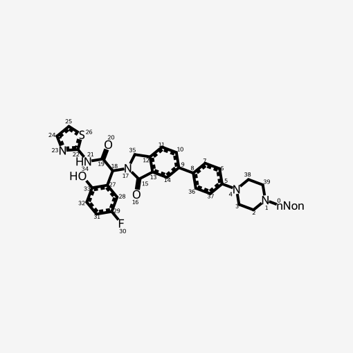 CCCCCCCCCN1CCN(c2ccc(-c3ccc4c(c3)C(=O)N(C(C(=O)Nc3nccs3)c3cc(F)ccc3O)C4)cc2)CC1